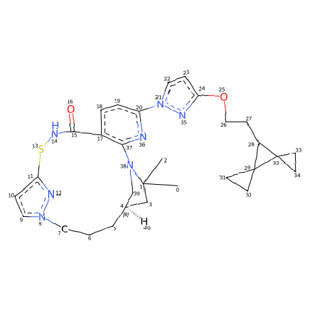 CC1(C)C[C@H]2CCCn3ccc(n3)SNC(=O)c3ccc(-n4ccc(OCCC5C6(CC6)C56CC6)n4)nc3N1C2